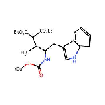 CCOC(=O)C(C(=O)OCC)C(C)C(Cc1c[nH]c2ccccc12)NC(=O)OC(C)(C)C